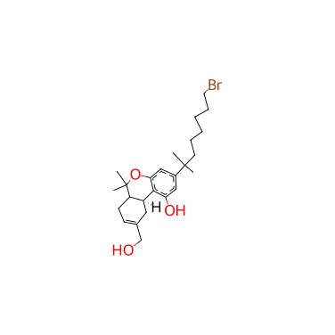 CC(C)(CCCCCCBr)c1cc(O)c2c(c1)OC(C)(C)C1CC=C(CO)C[C@H]21